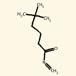 C=NC(=O)CCCC(C)(C)C